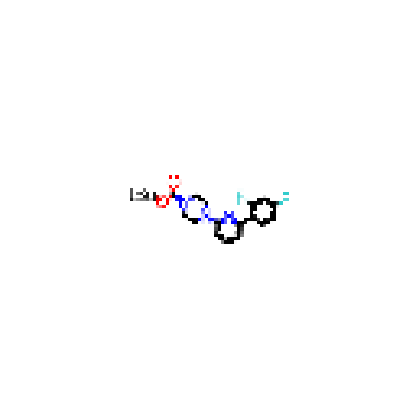 CC(C)(C)OC(=O)N1CCN(c2cccc(-c3ccc(F)cc3F)n2)CC1